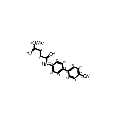 COC(=O)CCC(=O)Nc1ccc(-c2ccc(C#N)cc2)cc1